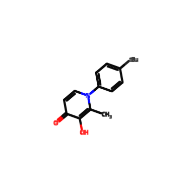 Cc1c(O)c(=O)ccn1-c1ccc(C(C)(C)C)cc1